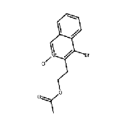 CC(=O)OCCc1c(Br)c2ccccc2c[n+]1[O-]